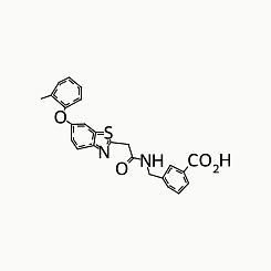 Cc1ccccc1Oc1ccc2nc(CC(=O)NCc3cccc(C(=O)O)c3)sc2c1